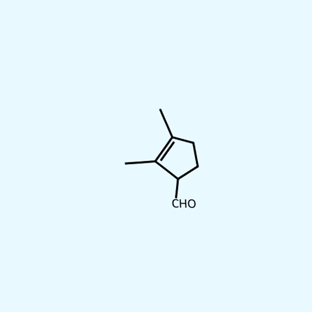 CC1=C(C)C(C=O)CC1